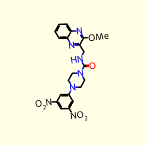 COc1nc2ccccc2nc1CNC(=O)N1CCN(c2cc([N+](=O)[O-])cc([N+](=O)[O-])c2)CC1